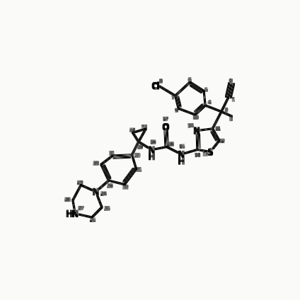 C#CC(C)(c1ccc(Cl)cc1)c1csc(NC(=O)NC2(c3ccc(N4CCNCC4)cc3)CC2)n1